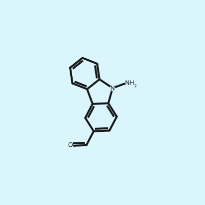 Nn1c2ccccc2c2cc(C=O)ccc21